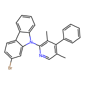 Cc1cnc(-n2c3ccccc3c3ccc(Br)cc32)c(C)c1-c1ccccc1